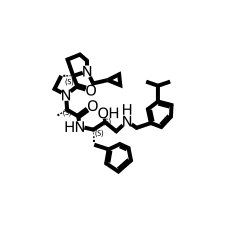 CC(C)c1cccc(CNC[C@H](O)[C@H](Cc2ccccc2)NC(=O)[C@H](C)N2CC[C@@]3(CCCN3CC3CC3)C2=O)c1